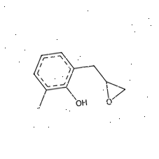 Cc1cccc(CC2CO2)c1O